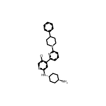 N[C@H]1CC[C@H](Nc2cc(-c3cccc(N4CCC(c5ccccc5)CC4)n3)c(Cl)cn2)CC1